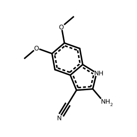 COc1cc2[nH]c(N)c(C#N)c2cc1OC